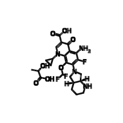 CC(O)C(=O)O.Nc1c(F)c(N2C[C@H]3CCCN[C@H]3C2)c(OC(F)F)c2c1c(=O)c(C(=O)O)cn2C1CC1